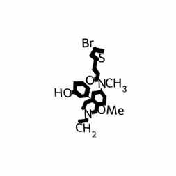 C=CCN1CC[C@@]2(c3cccc(O)c3)C[C@H](N(C)C(=O)/C=C/c3cc(Br)cs3)CC[C@]2(OC)C1